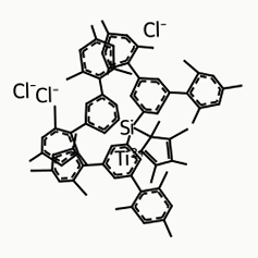 CC1=C(C)C(C)([Si](c2cc(-c3c(C)cc(C)cc3C)cc(-c3c(C)cc(C)cc3C)c2)(c2cc(-c3c(C)cc(C)cc3C)cc(-c3c(C)cc(C)cc3C)c2)c2cc(-c3c(C)cc(C)cc3C)cc(-c3c(C)cc(C)cc3C)c2)[C]([Ti+3])=C1C.[Cl-].[Cl-].[Cl-]